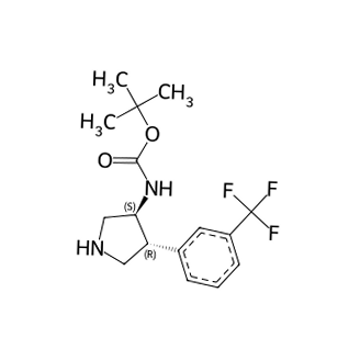 CC(C)(C)OC(=O)N[C@@H]1CNC[C@H]1c1cccc(C(F)(F)F)c1